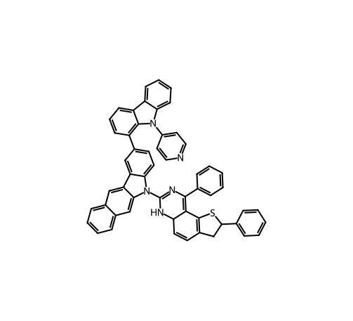 C1=CC2NC(n3c4ccc(-c5cccc6c7ccccc7n(-c7ccncc7)c56)cc4c4cc5ccccc5cc43)=NC(c3ccccc3)=C2C2=C1CC(c1ccccc1)S2